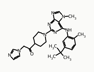 Cc1ccc(C(C)(C)C)cc1Nc1nc(N2CCC(C(=O)Cn3ccnc3)CC2)nc2ncn(C)c12